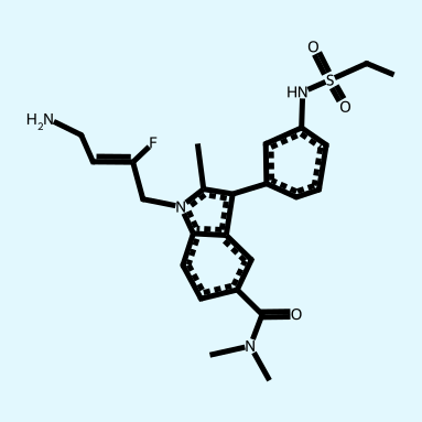 CCS(=O)(=O)Nc1cccc(-c2c(C)n(C/C(F)=C/CN)c3ccc(C(=O)N(C)C)cc23)c1